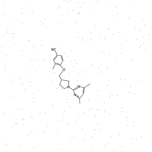 Cc1cc(C)nc(N2CCC(COc3ccc(C#N)cc3C)C2)n1